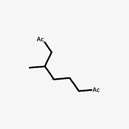 CC(=O)CC[CH]C(C)CC(C)=O